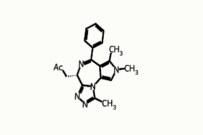 CC(=O)C[C@@H]1N=C(c2ccccc2)c2c(cn(C)c2C)-n2c(C)nnc21